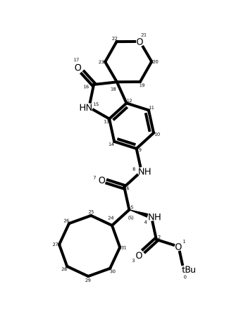 CC(C)(C)OC(=O)N[C@H](C(=O)Nc1ccc2c(c1)NC(=O)C21CCOCC1)C1CCCCCCC1